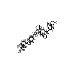 COc1ncc(Cn2cc(Cl)c(OCCc3ccc(Oc4cccc(C(F)(F)F)n4)cc3)nc2=O)cn1